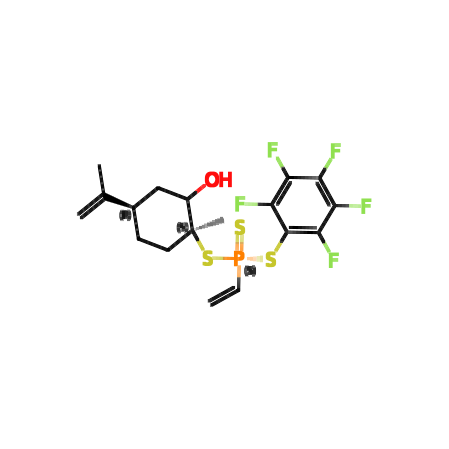 C=C[P@@](=S)(Sc1c(F)c(F)c(F)c(F)c1F)S[C@@]1(C)CC[C@@H](C(=C)C)CC1O